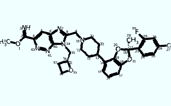 COC(=N)c1cc2nc(CN3CCC(c4cccc5c4O[C@@](C)(c4ccc(Cl)cc4F)O5)CC3)n(C[C@@H]3CCO3)c2nn1